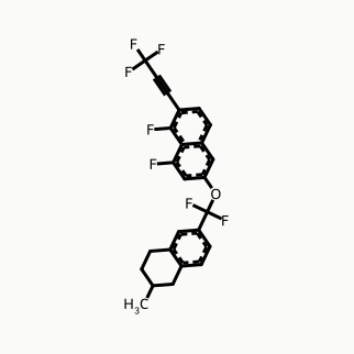 CC1CCc2cc(C(F)(F)Oc3cc(F)c4c(F)c(C#CC(F)(F)F)ccc4c3)ccc2C1